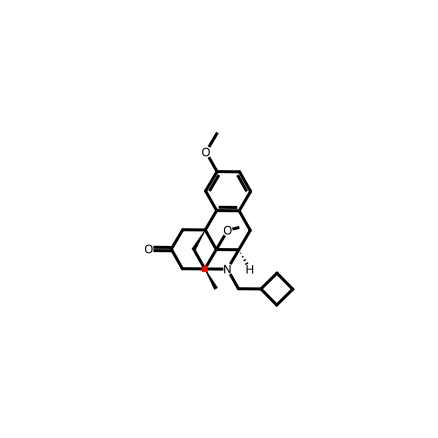 COc1ccc2c(c1)[C@]13CCN(CC4CCC4)[C@H](C2)C1(OC)[C@@H](C)CC(=O)C3